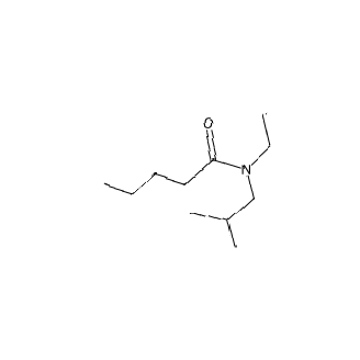 [CH2]CN(CC(C)C)C(=O)CCCC